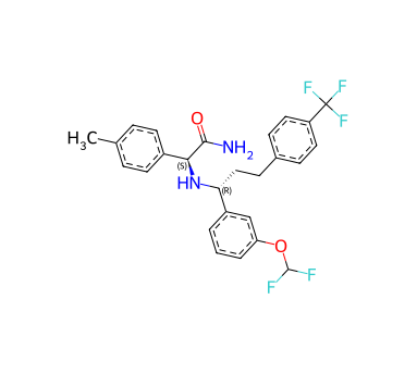 Cc1ccc([C@H](N[C@H](CCc2ccc(C(F)(F)F)cc2)c2cccc(OC(F)F)c2)C(N)=O)cc1